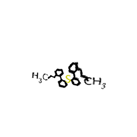 CCCCc1ccccc1-c1ccccc1Sc1ccccc1-c1ccccc1CCCC